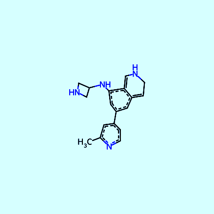 Cc1cc(-c2cc(NC3CNC3)c3c(c2)=CCNC=3)ccn1